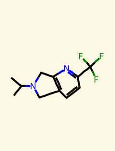 CC(C)N1Cc2ccc(C(F)(F)F)nc2C1